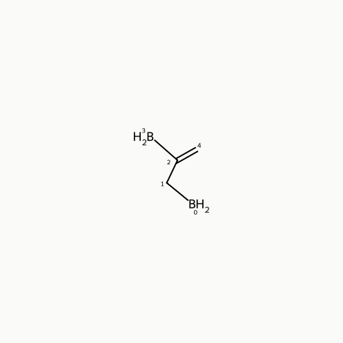 BCC(B)=C